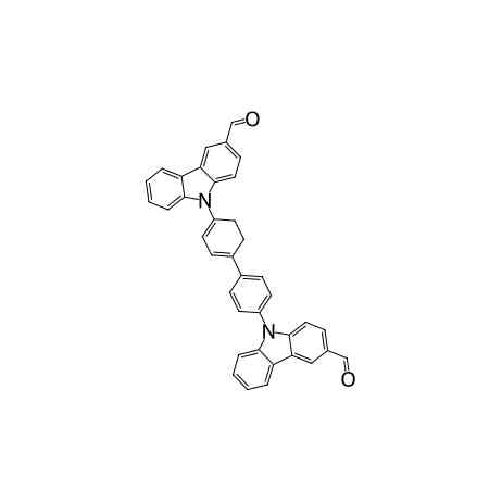 O=Cc1ccc2c(c1)c1ccccc1n2C1=CC=C(c2ccc(-n3c4ccccc4c4cc(C=O)ccc43)cc2)CC1